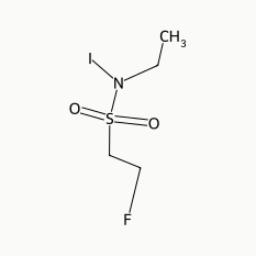 CCN(I)S(=O)(=O)CCF